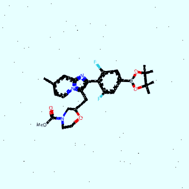 COC(=O)N1CCOC(Cc2c(-c3c(F)cc(B4OC(C)(C)C(C)(C)O4)cc3F)nc3cc(C)ccn23)C1